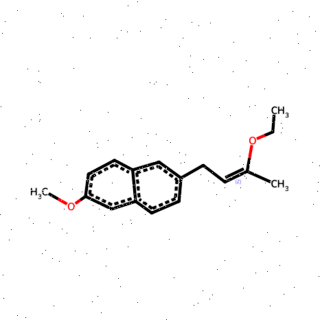 CCO/C(C)=C\Cc1ccc2cc(OC)ccc2c1